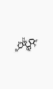 Fc1cccc(-c2cnoc2-c2n[nH]c3ncc(Br)cc23)c1F